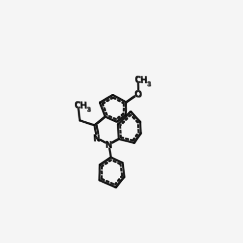 CC/C(=N/N(c1ccccc1)c1ccccc1)c1ccc(OC)cc1